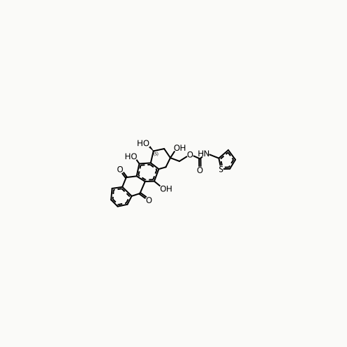 O=C(Nc1cccs1)OCC1(O)Cc2c(O)c3c(c(O)c2[C@@H](O)C1)C(=O)c1ccccc1C3=O